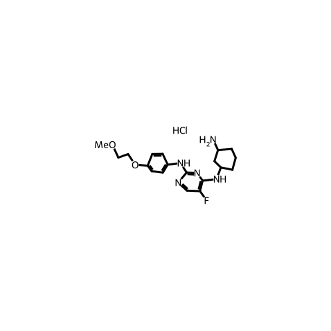 COCCOc1ccc(Nc2ncc(F)c(NC3CCCC(N)C3)n2)cc1.Cl